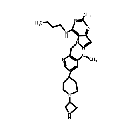 CCCCNc1nc(N)nc2cnn(Cc3ncc(C4CCN(C5CNC5)CC4)cc3OC)c12